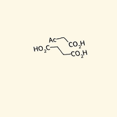 CC(=O)CC(=O)O.O=C(O)CCC(=O)O